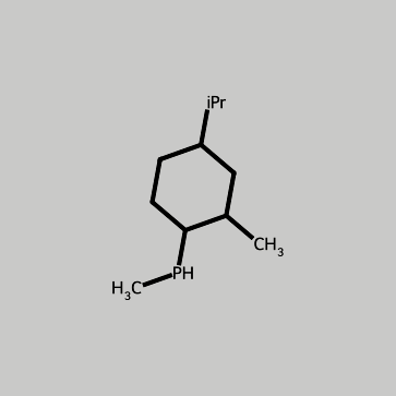 CPC1CCC(C(C)C)CC1C